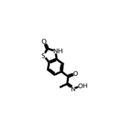 C/C(=N/O)C(=O)c1ccc2sc(=O)[nH]c2c1